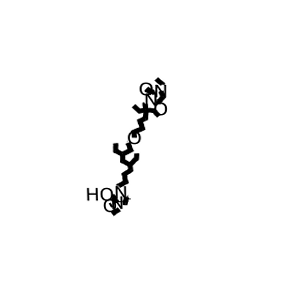 CCC(CCCCN1CC[N+]([O-])(CC)C1O)CC(CC)CCOCCCCC(CC)(CC)CN1C(=O)CN(CC)C1=O